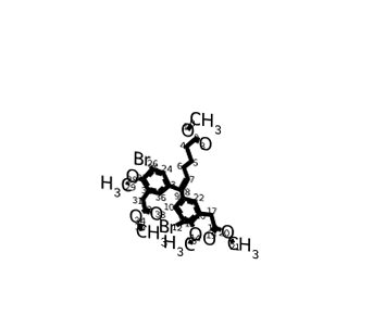 COC(=O)CCCC=C(c1cc(Br)c(OC)c(CC(=O)OC)c1)c1cc(Br)c(OC)c(CC(=O)OC)c1